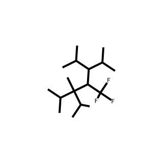 CC(C)C(C(C)C)C(C(F)(F)F)C(C)(C(C)C)C(C)C